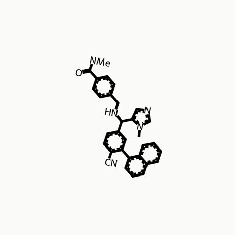 CNC(=O)c1ccc(CNC(c2ccc(C#N)c(-c3cccc4ccccc34)c2)c2cncn2C)cc1